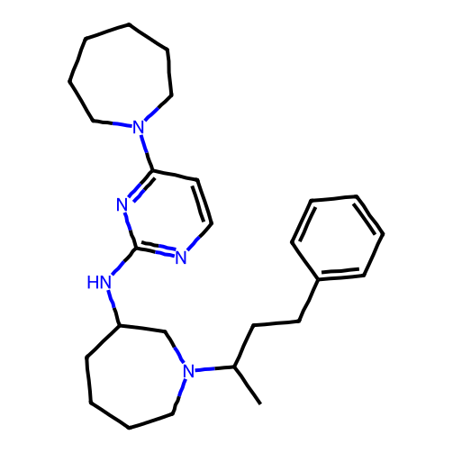 CC(CCc1ccccc1)N1CCCCC(Nc2nccc(N3CCCCCC3)n2)C1